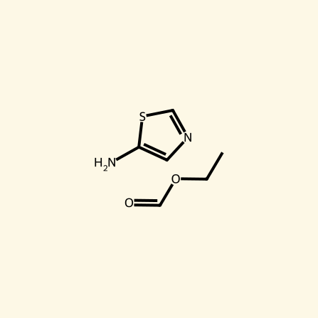 CCOC=O.Nc1cncs1